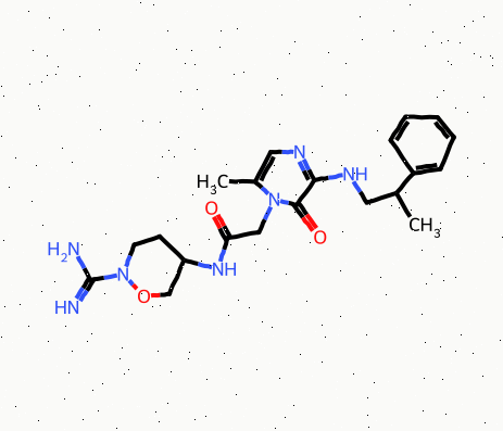 Cc1cnc(NCC(C)c2ccccc2)c(=O)n1CC(=O)NC1CCN(C(=N)N)OC1